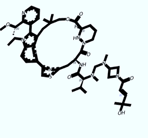 CCn1c(-c2cccnc2[C@H](C)OC)c2c3cc(ccc31)-c1csc(n1)C[C@H](NC(=O)[C@H](C(C)C)N(C)CN(C)C1CN(C(=O)/C=C/C(C)(C)O)C1)C(=O)N1CCC[C@H](N1)C(=O)OCC(C)(C)C2